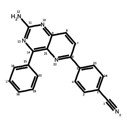 N#Cc1ccc(-c2ccc3nc(N)nc(-c4ccccc4)c3n2)cc1